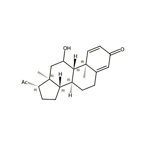 CC(=O)[C@H]1CC[C@H]2[C@@H]3CCC4=CC(=O)C=C[C@]4(C)[C@H]3C(O)C[C@]12C